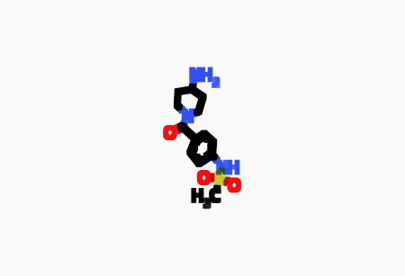 CS(=O)(=O)Nc1ccc(C(=O)N2CCC(N)CC2)cc1